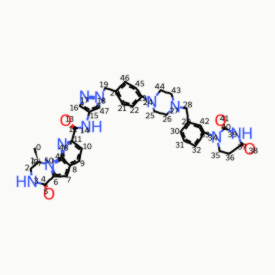 C[C@@H]1CNC(=O)c2cc3ccc(C(=O)Nc4cnn(Cc5ccc(N6CCN(Cc7cccc(N8CCC(=O)NC8=O)c7)CC6)cc5)c4)nc3n21